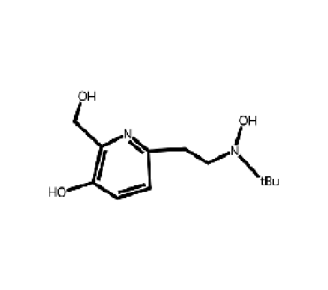 CC(C)(C)N(O)CCc1ccc(O)c(CO)n1